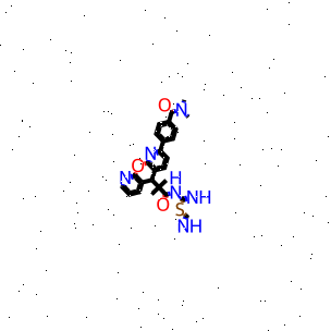 CN(C)C(=O)c1ccc(-c2ccc3c(n2)Oc2ncccc2C3C(C)(C)C(=O)NC(=N)SC=N)cc1